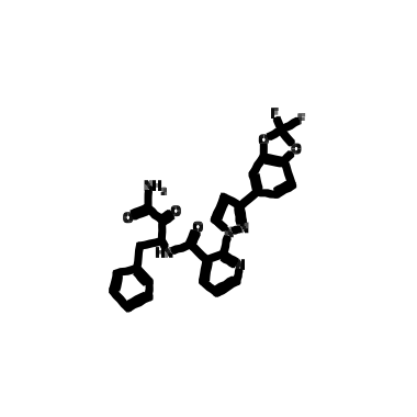 NC(=O)C(=O)C(Cc1ccccc1)NC(=O)c1cccnc1-n1ccc(-c2ccc3c(c2)OC(F)(F)O3)n1